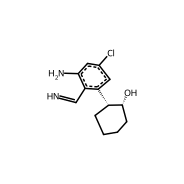 N=Cc1c(N)cc(Cl)cc1[C@H]1CCCC[C@H]1O